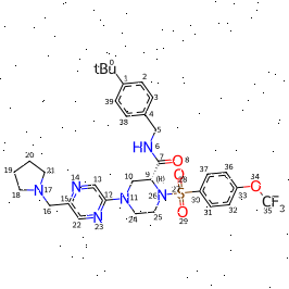 CC(C)(C)c1ccc(CNC(=O)[C@H]2CN(c3cnc(CN4CCCC4)cn3)CCN2S(=O)(=O)c2ccc(OC(F)(F)F)cc2)cc1